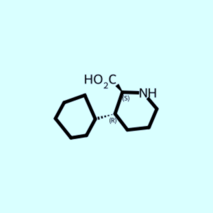 O=C(O)[C@H]1NCCC[C@@H]1C1CCCCC1